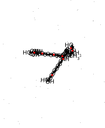 CC(C)[C@H](NC(=O)[C@H](CCC(=O)N[C@@H](CC(=O)NCCOCCOCCOCCOCCOCCOCCOCCOCCN(O)O)C(=O)NCCOCCOCCOCCOCCOCCOCCOCCOCCN(O)C[C@H](O)[C@@H](O)[C@H](O)[C@H](O)CO)NN1C(=O)C=CC1=O)C(=O)N[C@@H](C)C(=O)Nc1ccc(CO)cc1